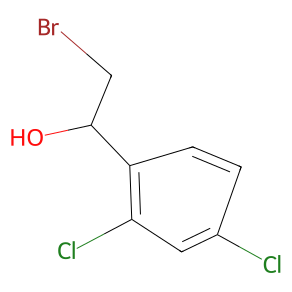 OC(CBr)c1ccc(Cl)cc1Cl